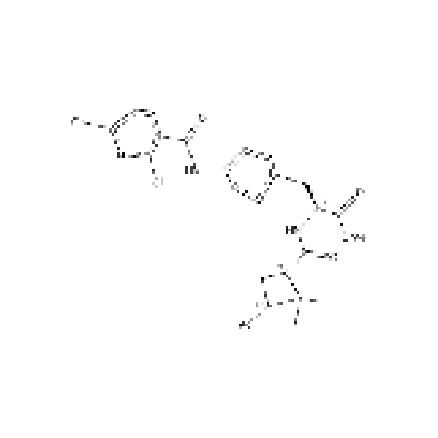 COC(=O)[C@H](Cc1ccc(NC(=O)c2ccc(Cl)nc2Cl)cc1)NC(=O)[C@H]1C[C@@H](C(C)=O)C1(C)C